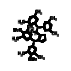 COc1c(C)cc(P(C2=C([C@@H](C)P(c3cc(C)cc(C)c3)c3cc(C)cc(C)c3)CC=C2)c2cc(C)c(OC)c(C)c2)cc1C